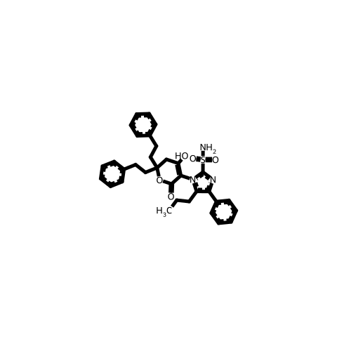 CCCc1c(-c2ccccc2)nc(S(N)(=O)=O)n1C1=C(O)CC(CCc2ccccc2)(CCc2ccccc2)OC1=O